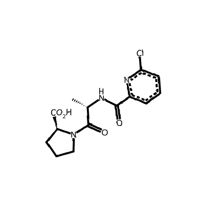 C[C@H](NC(=O)c1cccc(Cl)n1)C(=O)N1CCC[C@H]1C(=O)O